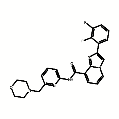 O=C(Nc1cccc(CN2CCOCC2)n1)c1cccn2cc(-c3cccc(F)c3F)nc12